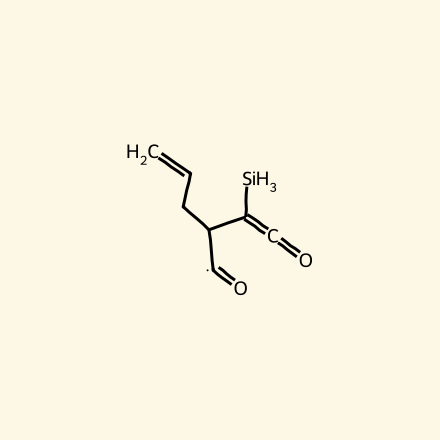 C=CCC([C]=O)C([SiH3])=C=O